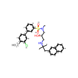 CN(C[C@H](O)CNC(C)(C)Cc1ccc2ccccc2c1)S(=O)(=O)c1cccc(-c2ccc(C(=O)O)c(Cl)c2)c1